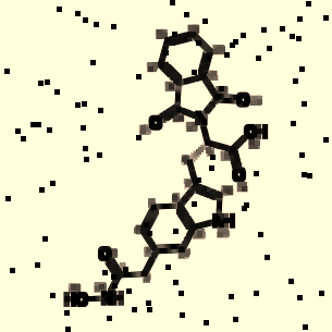 O=C(Cc1ccc2c(C[C@@H](C(=O)O)N3C(=O)c4ccccc4C3=O)c[nH]c2c1)NO